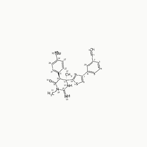 C#Cc1cccc(-c2csc([C@@]3(C)NC(=N)N(C)C(=O)[C@H]3c3ccc(C(C)(C)C)cc3)c2)c1